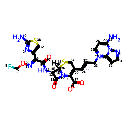 Nc1nc(C(=NOCF)C(=O)N[C@@H]2C(=O)N3C(C(=O)[O-])=C(/C=C/C[n+]4ccc(N)n5nccc54)CS[C@@H]23)cs1